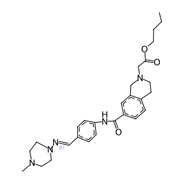 CCCCOC(=O)CN1CCc2ccc(C(=O)Nc3ccc(/C=N/N4CCN(C)CC4)cc3)cc2C1